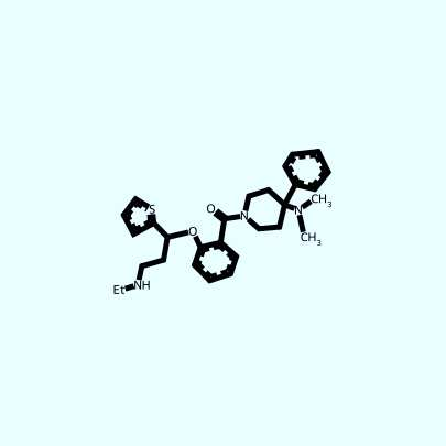 CCNCCC(Oc1ccccc1C(=O)N1CCC(c2ccccc2)(N(C)C)CC1)c1cccs1